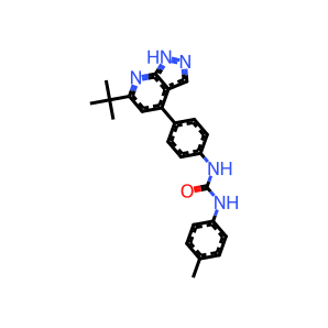 Cc1ccc(NC(=O)Nc2ccc(-c3cc(C(C)(C)C)nc4[nH]ncc34)cc2)cc1